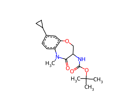 CN1C(=O)C(NC(=O)OC(C)(C)C)COc2cc(C3CC3)ccc21